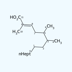 CCCCCCCCCC(C)C(C)CC=C(C)C(=O)O